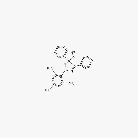 Cc1cc(C)c(C2=NC(OO)(c3ccccc3)C(c3ccccc3)=N2)c(C)c1